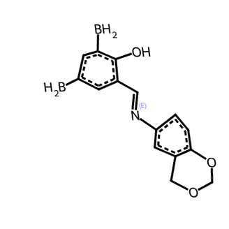 Bc1cc(B)c(O)c(/C=N/c2ccc3c(c2)COCO3)c1